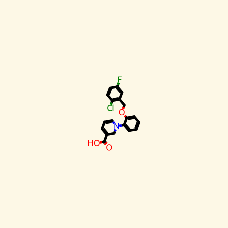 O=C(O)C1=CC=CN(c2ccccc2OCc2cc(F)ccc2Cl)C1